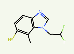 Cc1c(S)ccc2ncn(CC(F)F)c12